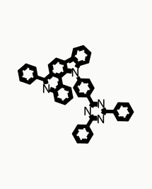 c1ccc(-c2nc(-c3ccccc3)nc(-c3ccc(-n4c5ccccc5c5ccc6c(-c7ccccc7)nc7ccccc7c6c54)cc3)n2)cc1